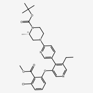 CCc1cncc(Oc2cccc(Cl)c2C(=O)OC)c1-c1ccc(N2CCN(C(=O)OC(C)(C)C)[C@@H](C)C2)nc1